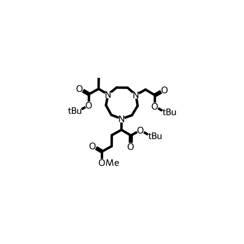 COC(=O)CCC(C(=O)OC(C)(C)C)N1CCN(CC(=O)OC(C)(C)C)CCN(C(C)C(=O)OC(C)(C)C)CC1